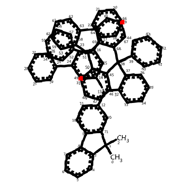 CC1(C)c2ccccc2-c2ccc(N(c3cc(-c4ccccc4)cc(-c4ccccc4)c3)c3ccccc3C3(c4ccccc4)c4ccccc4C4(c5ccccc5)c5ccccc5-c5cccc3c54)cc21